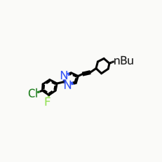 CCCCC1CCC(C#Cc2cnc(-c3ccc(Cl)c(F)c3)nc2)CC1